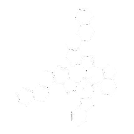 Cc1ccc2c(c1-c1ccc3ccccc3c1)C=C(c1occ3ccccc13)[CH]2[Zr]([Cl])([Cl])([CH]1C(c2occ3ccccc23)=Cc2c1ccc(C)c2-c1ccc2ccccc2c1)=[Si](C)C